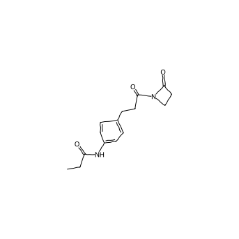 CCC(=O)Nc1ccc(CCC(=O)N2CCC2=O)cc1